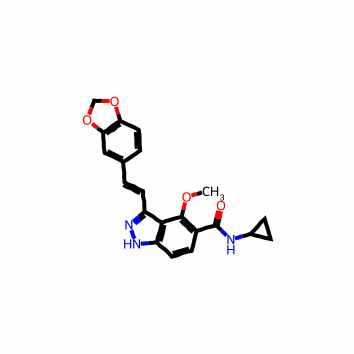 COc1c(C(=O)NC2CC2)ccc2[nH]nc(C=Cc3ccc4c(c3)OCO4)c12